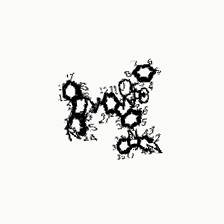 O=S(=O)(c1ccccc1)n1c2ccc(-n3c4ccccc4c4cnccc43)cc2c2cc(-n3c4ccccc4c4cnccc43)ccc21